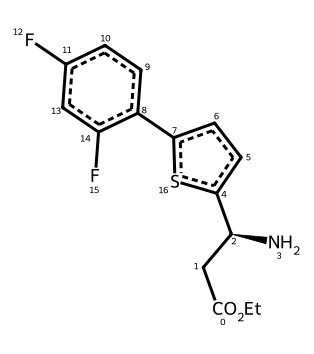 CCOC(=O)C[C@H](N)c1ccc(-c2ccc(F)cc2F)s1